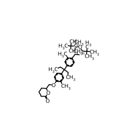 CCC(CC)(c1ccc(CC[C@H](O[Si](C)(C)C(C)(C)C)C(C)(C)C)c(C)c1)c1ccc(OCC2CCCC(=O)O2)c(C)c1